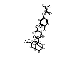 COC(=O)[C@H](Cc1ccc(OC(=O)N(C)C)cc1)NC(=O)C12CC3CC(CC(C(C)=O)(C3)C1)C2